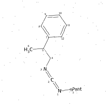 CCCCCN=C=NCC(C)c1ccccc1